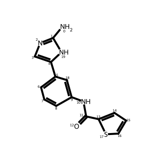 Nc1ncc(-c2cccc(NC(=O)c3cccs3)c2)[nH]1